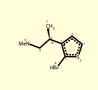 CCCCc1sccc1[C@H](C)CNC